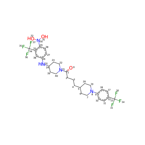 O=C(CCCC1CCN(c2ccc(C(F)(F)F)cc2)CC1)N1CCC(Nc2ccc(N(O)O)c(C(F)(F)F)c2)CC1